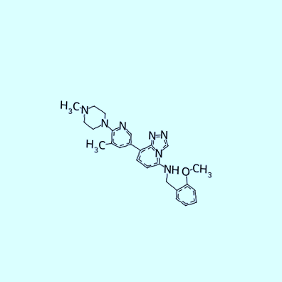 COc1ccccc1CNc1ccc(-c2cnc(N3CCN(C)CC3)c(C)c2)c2nncn12